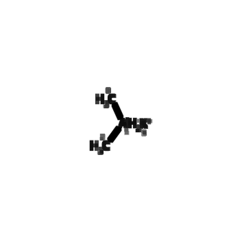 [CH3][AlH2-][CH3].[K+]